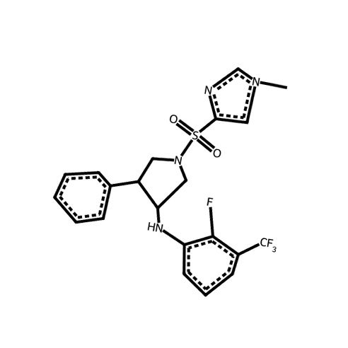 Cn1cnc(S(=O)(=O)N2CC(Nc3cccc(C(F)(F)F)c3F)C(c3ccccc3)C2)c1